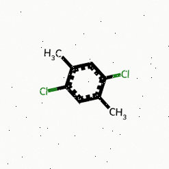 Cc1[c]c(Cl)c(C)cc1Cl